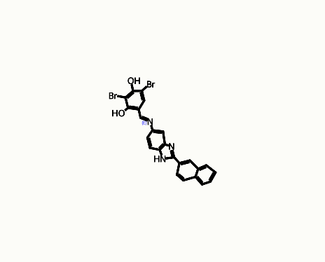 Oc1c(Br)cc(/C=N/c2ccc3[nH]c(-c4ccc5ccccc5c4)nc3c2)c(O)c1Br